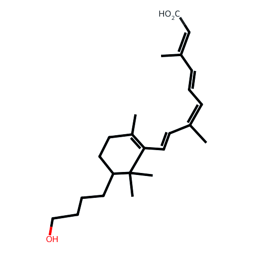 CC1=C(/C=C/C(C)=C\C=C\C(C)=C\C(=O)O)C(C)(C)C(CCCCO)CC1